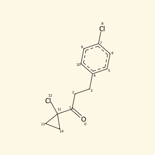 O=C(CCc1ccc(Cl)cc1)C1(Cl)CC1